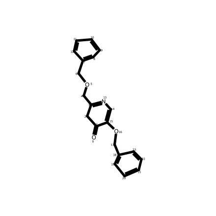 O=C1CC(COCc2ccccc2)=NC=C1OCc1ccccc1